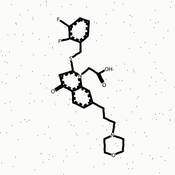 O=C(O)Cn1c(SCc2cccc(F)c2F)cc(=O)c2ccc(CCCN3CCOCC3)cc21